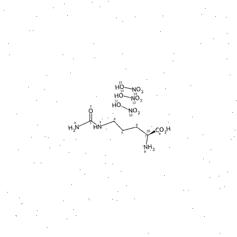 NC(=O)NCCC[C@H](N)C(=O)O.O=[N+]([O-])O.O=[N+]([O-])O.O=[N+]([O-])O